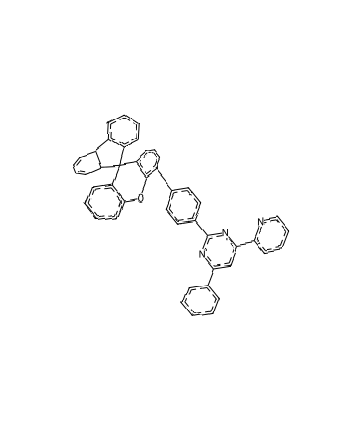 C1=CC2c3ccccc3C3(c4ccccc4Oc4c(-c5ccc(-c6nc(-c7ccccc7)cc(-c7ccccn7)n6)cc5)cccc43)C2C=C1